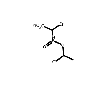 CCC(C(=O)O)[PH](=O)OC(C)Cl